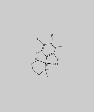 C[C@H]1CCCC(C)(C)[C@@]1(C=O)c1c(F)c(F)c(F)c(F)c1F